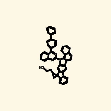 OCCC1CC12c1ccccc1-c1cc3c4ccc5ccccc5c4n(-c4nc(-c5ccc(-c6ccccc6)cc5)c5ccccc5n4)c3cc12